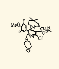 COc1c(F)cc(-c2c(CN3CCC4(CCC4)CC3)nc(Cl)c([C@H](OC(C)(C)C)C(=O)O)c2N2CCC(C)(C)CC2)cc1F